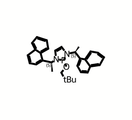 C[C@@H](c1cccc2ccccc12)N1C=CN([C@@H](C)c2cccc3ccccc23)P1OCC(C)(C)C